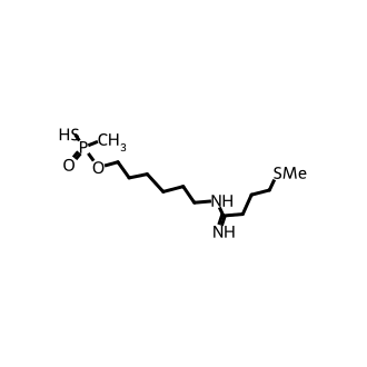 CSCCCC(=N)NCCCCCCOP(C)(=O)S